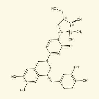 C[C@@]1(O)[C@H](O)[C@@H](CO)O[C@H]1n1ccc(N2Cc3cc(O)c(O)cc3C(Cc3ccc(O)c(O)c3)C2)nc1=O